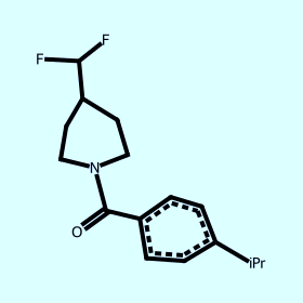 CC(C)c1ccc(C(=O)N2CCC(C(F)F)CC2)cc1